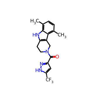 Cc1ccc(C)c2c3c([nH]c12)CCN(C(=O)c1cc(C(F)(F)F)[nH]n1)C3